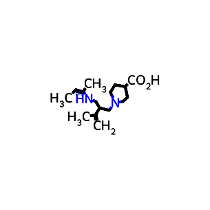 C=C(C)C(CN/C(C)=C\C)CN1CCC(C(=O)O)CC1